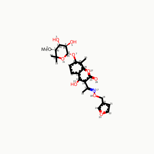 CO[C@@H]1[C@H](O)[C@@H](O)[C@H](Oc2ccc3c(O)c(C(C)=NOCc4ccoc4)c(=O)oc3c2C)OC1(C)C